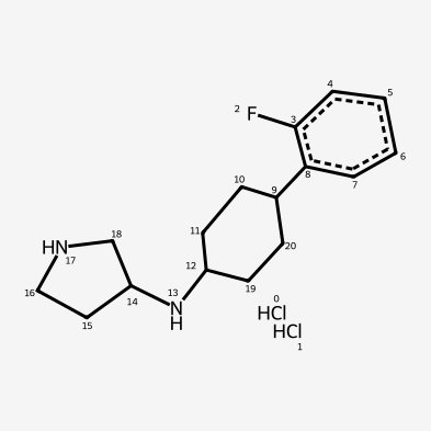 Cl.Cl.Fc1ccccc1C1CCC(NC2CCNC2)CC1